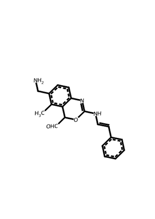 Cc1c(CN)ccc2c1C(C=O)OC(NC=Cc1ccccc1)=N2